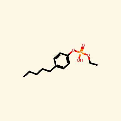 CCCCCc1ccc(OP(=O)(O)OCC)cc1